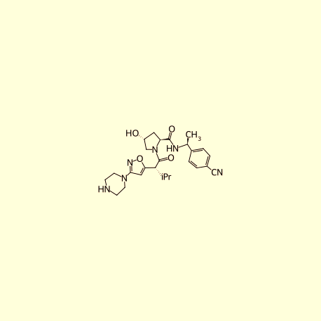 CC(C)[C@@H](C(=O)N1C[C@H](O)C[C@H]1C(=O)N[C@@H](C)c1ccc(C#N)cc1)c1cc(N2CCNCC2)no1